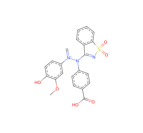 C=[N+](c1ccc(O)c(OC)c1)N(C1=NS(=O)(=O)c2ccccc21)c1ccc(C(=O)O)cc1